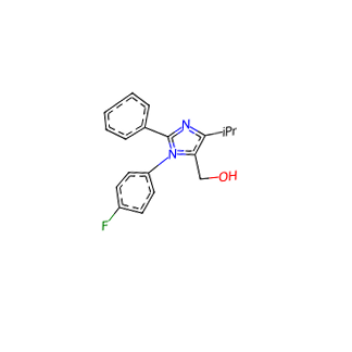 CC(C)c1nc(-c2ccccc2)n(-c2ccc(F)cc2)c1CO